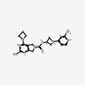 CCc1nc2c(c(N3CCC3)n1)CN(C(=O)OC1CN(c3ccnc(C(F)(F)F)c3)C1)C2